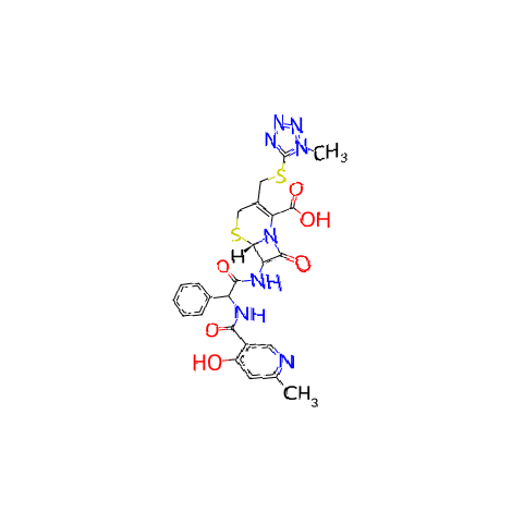 Cc1cc(O)c(C(=O)NC(C(=O)NC2C(=O)N3C(C(=O)O)=C(CSc4nnnn4C)CS[C@@H]23)c2ccccc2)cn1